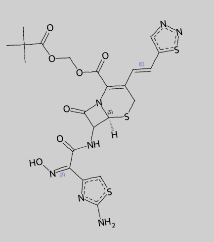 CC(C)(C)C(=O)OCOC(=O)C1=C(/C=C/c2cnns2)CS[C@H]2C(NC(=O)/C(=N\O)c3csc(N)n3)C(=O)N12